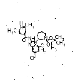 CC1=CC(C(=O)Nc2nc3cc(C=O)cc(C)c3n2[C@@H]2CCCCN(C(=O)OC(C)(C)C)C2)=CC(C)N1